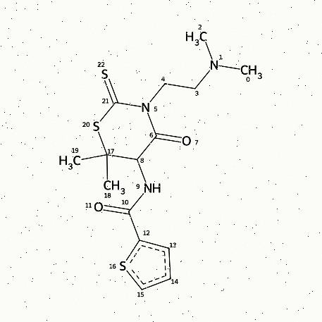 CN(C)CCN1C(=O)C(NC(=O)c2cccs2)C(C)(C)SC1=S